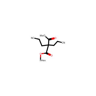 CCCCCCOC(=O)C(CCC#N)(CCC#N)C(=O)OC